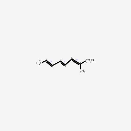 C/C=C/C=C/C=C(\C)C(=O)OCC